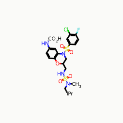 CC(C)CN(C)S(=O)(=O)NCC1CN(S(=O)(=O)c2ccc(F)c(Cl)c2)c2cc(NC(=O)O)ccc2O1